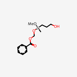 CO[Si](C)(CCCO)OCOC(=O)c1ccccc1